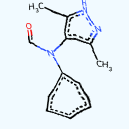 Cc1n[nH]c(C)c1N(C=O)c1ccccc1